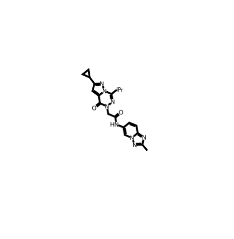 Cc1nc2ccc(NC(=O)Cn3nc(C(C)C)n4nc(C5CC5)cc4c3=O)cn2n1